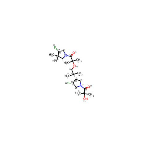 CCCC1(C)CN(C(=O)C(C)(C)OCC(C)(C)[C@@H]2CN(C(=O)C(C)(C)O)C[C@@H]2F)C[C@@H]1F